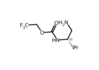 CC(C)[C@@H](CN)NC(=O)OCC(F)(F)F